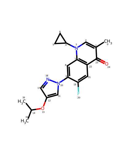 Cc1cn(C2CC2)c2cc(-n3cc(OC(C)C)cn3)c(F)cc2c1=O